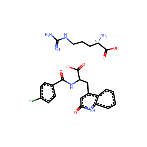 N=C(N)NCCC[C@H](N)C(=O)O.O=C(NC(Cc1cc(=O)[nH]c2ccccc12)C(=O)O)c1ccc(Cl)cc1